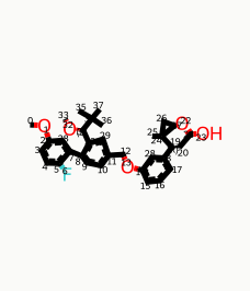 COc1ccc(F)c(-c2ccc(COc3cccc([C@H](CC(=O)O)C4(C)CC4)c3)cc2[C@@H](OC)C(C)(C)C)c1